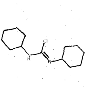 ClC(=NC1CCCCC1)NC1CCCCC1